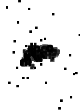 C=CC(=O)N1CCCC(Nc2ncnc(N)c2C(O)c2ccc(Oc3ccccc3)cc2)C1